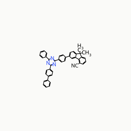 CC1(C)c2ccc(-c3ccc(-c4nc(-c5ccccc5)nc(-c5ccc(-c6ccccc6)cc5)n4)cc3)cc2-c2c(C#N)cccc21